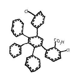 O=C(O)c1c(Cl)cccc1-c1cc(-c2cccc(Cl)c2)c(-c2ccccc2)c(-c2ccccc2)c1-c1ccccc1